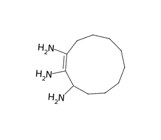 NC1=C(N)C(N)CCCCCCCC1